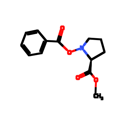 COC(=O)[C@@H]1CCCN1OC(=O)c1ccccc1